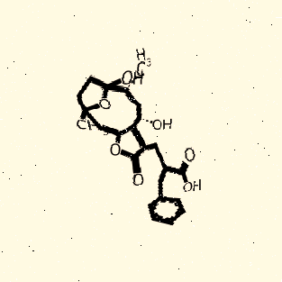 C[C@@H]1C[C@H](O)C2=C(CC(Cc3ccccc3)C(=O)O)C(=O)OC2=CC2(C)CCC1(O)O2